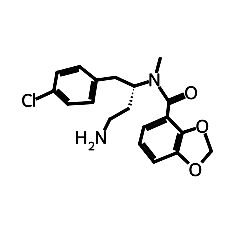 CN(C(=O)c1cccc2c1OCO2)[C@H](CCN)Cc1ccc(Cl)cc1